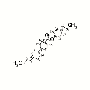 CCCCC1CCC(c2ccc(C(=O)Oc3ccc(CCC)cc3)cc2)CC1